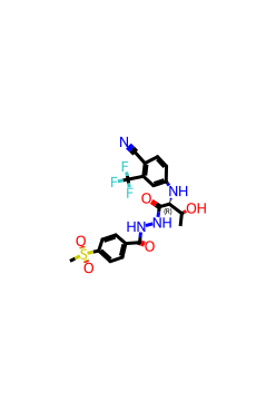 CC(O)[C@@H](Nc1ccc(C#N)c(C(F)(F)F)c1)C(=O)NNC(=O)c1ccc(S(C)(=O)=O)cc1